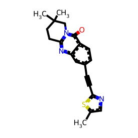 Cc1cnc(C#Cc2ccc3c(=O)n4c(nc3c2)CCC(C)(C)C4)s1